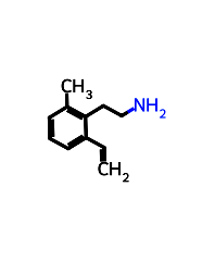 C=Cc1cccc(C)c1CCN